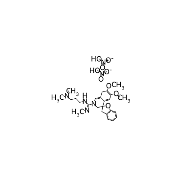 CN=C(NCCCN(C)C)N1C=C2CC(OC)=C(OC)C=C2C2(Cc3ccccc3O2)C1.O=[N+]([O-])O.O=[N+]([O-])O